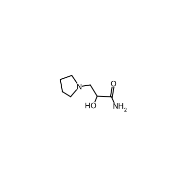 NC(=O)C(O)CN1CCCC1